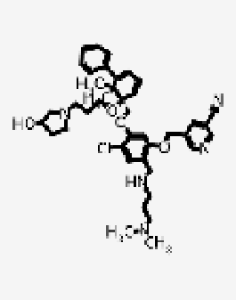 CN(C)CCCNCc1cc(Cl)c(OC[C@@]2(OCCCN3CCC(O)C3)C=CC=C(c3ccccc3)C2(C)C)cc1OCc1cncc(C#N)c1